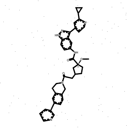 CO[C@@]1(C(=O)Nc2ccc3[nH]nc(-c4ccnc(C5CC5)c4)c3c2)CCC(CC(=O)N2CCc3cc(-c4cccnc4)ccc3C2)C1